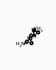 Cn1ncc(-c2nnc3c4cc(-c5ccccc5)c(-c5ccc(CN)cc5)nc4ccn23)c1-c1ccccc1